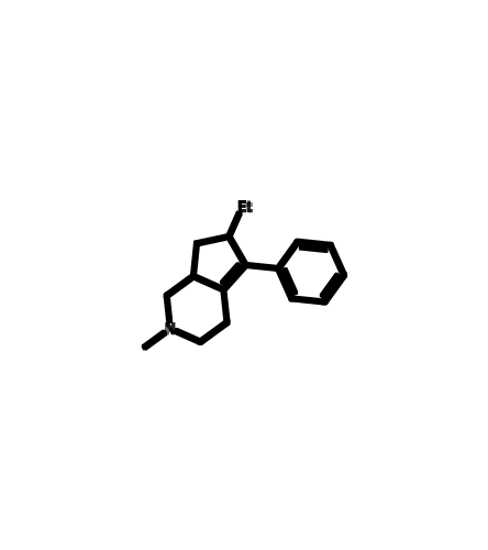 CCC1CC2CN(C)CCC2=C1c1ccccc1